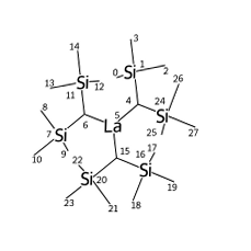 C[Si](C)(C)[CH]([La]([CH]([Si](C)(C)C)[Si](C)(C)C)[CH]([Si](C)(C)C)[Si](C)(C)C)[Si](C)(C)C